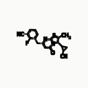 Cc1sc2nc(Cc3cccc(C#N)c3F)cc(=O)n2c1C1CC1C#N